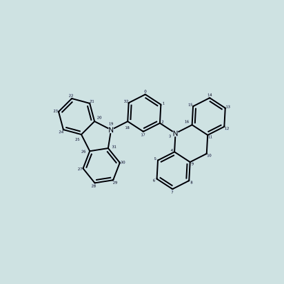 c1cc(N2c3ccccc3Cc3ccccc32)cc(-n2c3ccccc3c3ccccc32)c1